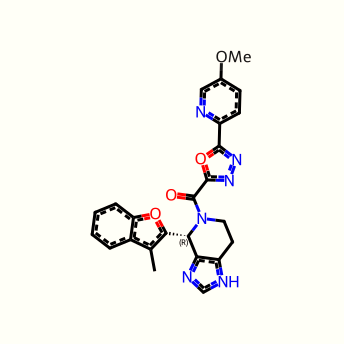 COc1ccc(-c2nnc(C(=O)N3CCc4[nH]cnc4[C@@H]3c3oc4ccccc4c3C)o2)nc1